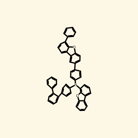 c1ccc(-c2ccccc2-c2ccc(N(c3ccc(-c4ccc5oc6c(-c7ccccc7)cccc6c5c4)cc3)c3cccc4c3oc3ccccc34)cc2)cc1